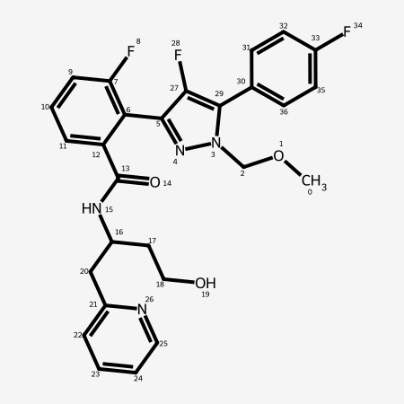 COCn1nc(-c2c(F)cccc2C(=O)NC(CCO)Cc2ccccn2)c(F)c1-c1ccc(F)cc1